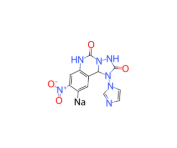 O=C1Nc2cc([N+](=O)[O-])[c]([Na])cc2C2N1NC(=O)N2n1ccnc1